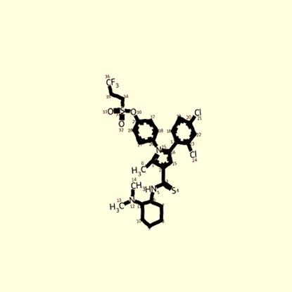 Cc1c(C(=S)NC2CCCCC2N(C)C)cc(-c2ccc(Cl)cc2Cl)n1-c1ccc(OS(=O)(=O)CCC(F)(F)F)cc1